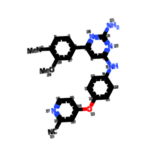 CNc1ccc(-c2cc(Nc3ccc(Oc4ccnc(C#N)c4)cc3)nc(N)n2)cc1OC